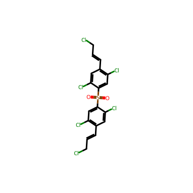 O=S(=O)(c1cc(Cl)c(/C=C/CCl)cc1Cl)c1cc(Cl)c(/C=C/CCl)cc1Cl